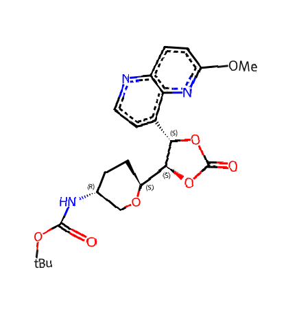 COc1ccc2nccc([C@@H]3OC(=O)O[C@H]3[C@@H]3CC[C@@H](NC(=O)OC(C)(C)C)CO3)c2n1